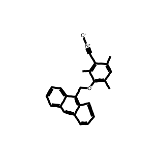 Cc1cc(C)c(OCc2c3ccccc3cc3ccccc23)c(C)c1C#[N+][O-]